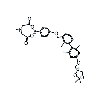 Cc1cc(OC[C@H]2COC(C)(C)O2)cc(C)c1-c1cccc(COc2ccc(B3OC(=O)CN(C)CC(=O)O3)cc2)c1C